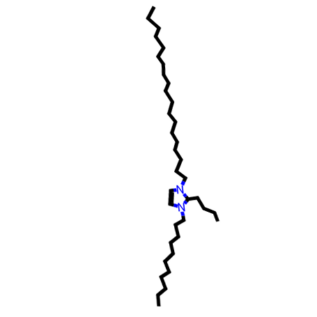 CCCCCCCCCCCCCCCCCCCN1C=CN(CCCCCCCCCCC)C1CCCC